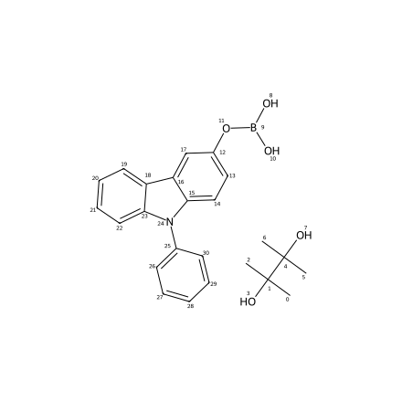 CC(C)(O)C(C)(C)O.OB(O)Oc1ccc2c(c1)c1ccccc1n2-c1ccccc1